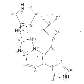 FC1(F)CC(Oc2c(-c3cn[nH]c3)ncc3nc(N[C@@H]4CCCNC4)nn23)C1